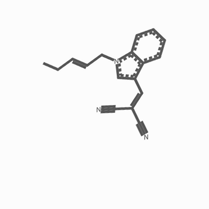 CC/C=C/Cn1cc(C=C(C#N)C#N)c2ccccc21